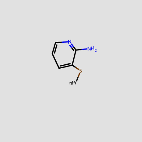 CCCSc1cccnc1N